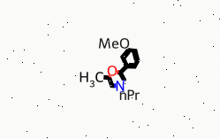 CCCN1CC(C)OC(c2cccc(OC)c2)C1